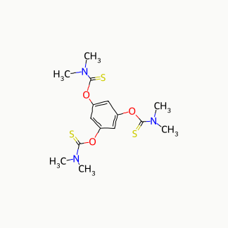 CN(C)C(=S)Oc1cc(OC(=S)N(C)C)cc(OC(=S)N(C)C)c1